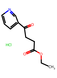 CCOC(=O)CCC(=O)c1cccnc1.Cl